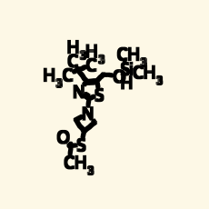 CC(=O)SC1CN(c2nc(C(C)(C)C)c(CO[SiH](C)C)s2)C1